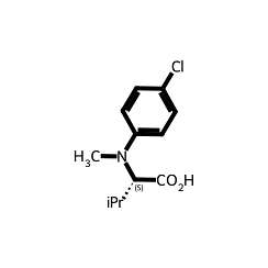 CC(C)[C@@H](C(=O)O)N(C)c1ccc(Cl)cc1